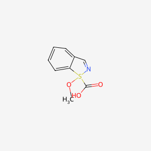 COS1(C(=O)O)N=Cc2ccccc21